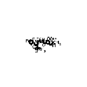 COc1cc(C(=O)NCC(O)(c2cc3c(c(-c4ccc(F)cc4)n2)OC[C@@]3(CF)C(N)=O)C(F)(F)F)cc2cc(Cl)c(C)nc12